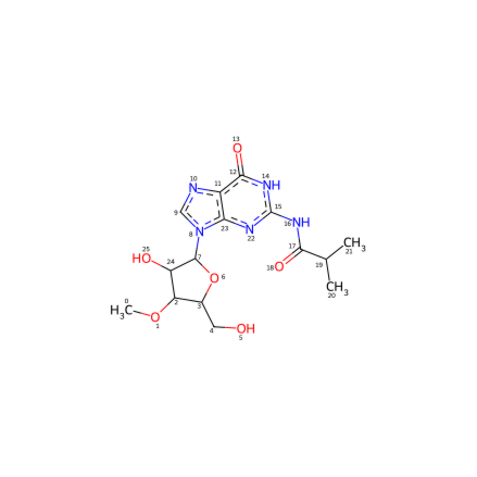 COC1C(CO)OC(n2cnc3c(=O)[nH]c(NC(=O)C(C)C)nc32)C1O